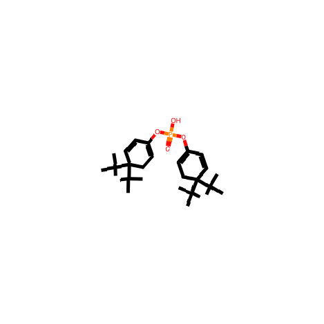 CC(C)(C)C1(C(C)(C)C)C=CC(OP(=O)(O)OC2=CCC(C(C)(C)C)(C(C)(C)C)C=C2)=CC1